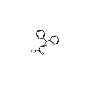 O=C(O)C=NC(c1ccccc1)c1ccccc1